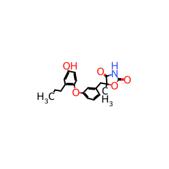 CCCc1cc(O)ccc1Oc1cccc(CC2(C)OC(=O)NC2=O)c1